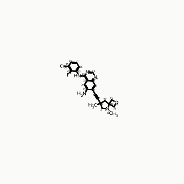 CN1CC(C)(C#Cc2cc3ncnc(Nc4cccc(Cl)c4F)c3cc2N)CC12COC2